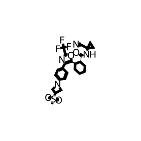 CS(=O)(=O)C1CN(c2ccc(-c3nc(C(F)(F)F)oc3[C@@H]3CCCC[C@H]3C(=O)NC3(C#N)CC3)cc2)C1